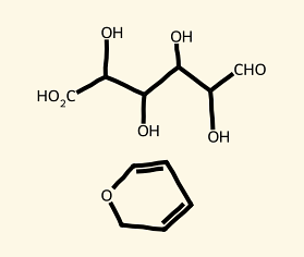 C1=CCOC=C1.O=CC(O)C(O)C(O)C(O)C(=O)O